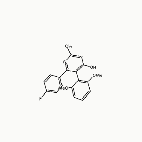 COc1cccc(OC)c1-c1c(O)[c]c(O)nc1-c1ccc(F)cc1